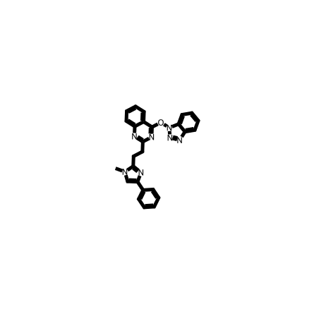 Cn1cc(-c2ccccc2)nc1CCc1nc(On2nnc3ccccc32)c2ccccc2n1